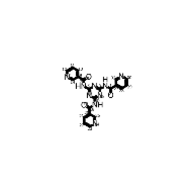 O=C(Nc1nc(NC(=O)c2cccnc2)nc(NC(=O)c2cccnc2)n1)c1cccnc1